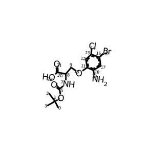 CC(C)(C)OC(=O)NC(COc1cc(Cl)c(Br)cc1N)C(=O)O